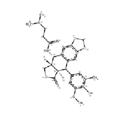 COc1cc(C2c3cc4c(cc3[C@@H](NC(=O)CCN(C)C)[C@H]3COC(=O)[C@H]23)OCO4)cc(C)c1O